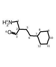 NCC([C]=O)CCC1CCCCC1